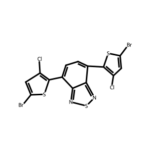 Clc1cc(Br)sc1-c1ccc(-c2sc(Br)cc2Cl)c2nsnc12